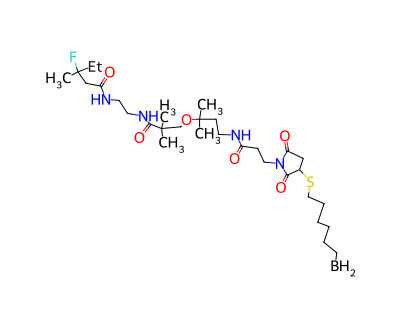 BCCCCCCSC1CC(=O)N(CCC(=O)NCCC(C)(C)OCC(C)(C)C(=O)NCCNC(=O)CC(C)(F)CC)C1=O